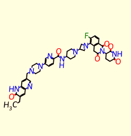 CCc1cc2ncc(CN3CCN(c4ccc(C(=O)NC5CCN(C6CN(c7c(F)ccc8c7CC(=O)N(C7CCC(=O)NC7=O)C8=O)C6)CC5)nc4)CC3)cc2[nH]c1=O